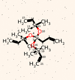 C=CC[Si](O[Si](C)(C)C=C)(O[Si](C)(C)C=C)O[Si](C)(C)C=C